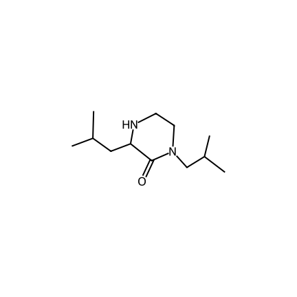 CC(C)CC1NCCN(CC(C)C)C1=O